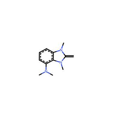 C=C1N(C)c2cccc(N(C)C)c2N1C